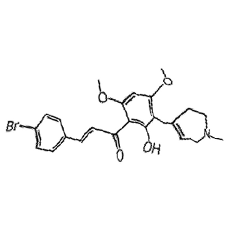 COc1cc(OC)c(C2=CCN(C)CC2)c(O)c1C(=O)/C=C/c1ccc(Br)cc1